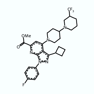 COC(=O)c1cc(N2CCC(N3CCCC(C(F)(F)F)C3)CC2)c2c(C3CCC3)nn(-c3ccc(F)cc3)c2n1